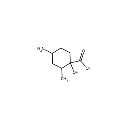 CC1CC(N)CCC1(O)C(=O)O